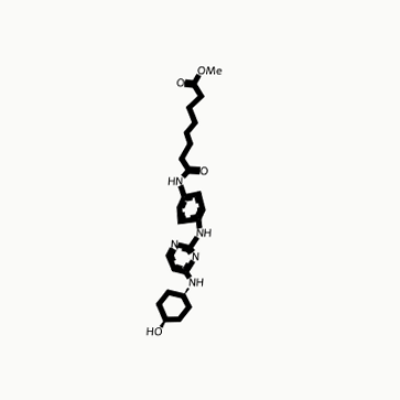 COC(=O)CCCCCCC(=O)Nc1ccc(Nc2nccc(N[C@H]3CC[C@H](O)CC3)n2)cc1